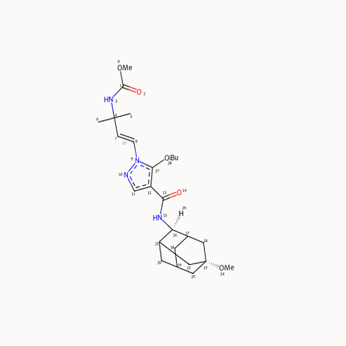 COC(=O)NC(C)(C)/C=C/n1ncc(C(=O)N[C@H]2C3CC4CC2C[C@](OC)(C4)C3)c1OCC(C)C